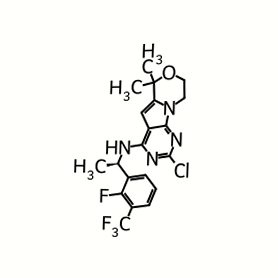 C[C@@H](Nc1nc(Cl)nc2c1cc1n2CCOC1(C)C)c1cccc(C(F)(F)F)c1F